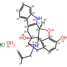 C=C(C)CN1CC[C@]23c4c5ccc(O)c4O[C@H]2c2[nH]c4ccccc4c2C[C@@]3(O)C1C5.Cl.O